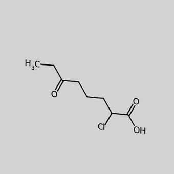 CCC(=O)CCCC(Cl)C(=O)O